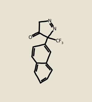 O=C1CN=NC1(c1ccc2ccccc2c1)C(F)(F)F